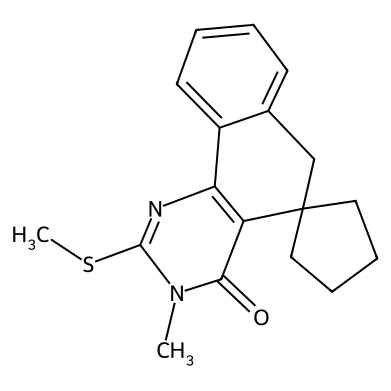 CSc1nc2c(c(=O)n1C)C1(CCCC1)Cc1ccccc1-2